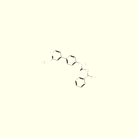 CCC(NC(=O)Nc1ccc(-c2ccnc(C)c2)cc1)c1ccccc1